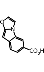 O=C(O)c1ccc2cc3occn3c2c1